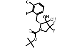 CC(C)(C)OC(=O)N1CC(F)(F)C(O)(O)[C@@H]1Cc1cccc(Cl)c1F